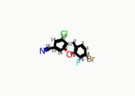 Cc1ccc(Br)c(F)c1Oc1cc(Cl)cc(C#N)c1